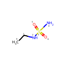 C[CH]NS(N)(=O)=O